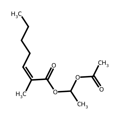 CCCCC=C(C)C(=O)OC(C)OC(C)=O